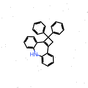 c1ccc(C2(c3ccccc3)CC3=C2c2ccccc2Nc2ccccc23)cc1